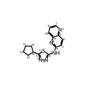 c1cnc2ccc(Nc3nnc(C4CCCC4)s3)nc2c1